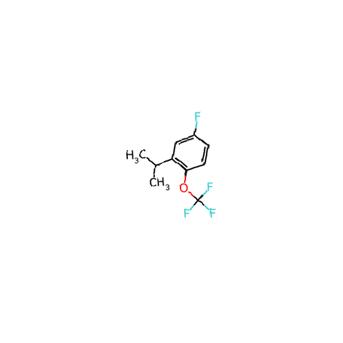 C[C](C)c1cc(F)ccc1OC(F)(F)F